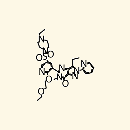 CCOCCOc1ncc(S(=O)(=O)N2CCN(CC)CC2)cc1-c1nc2c(CC)n(-c3ccccn3)nc2c(=O)n1C